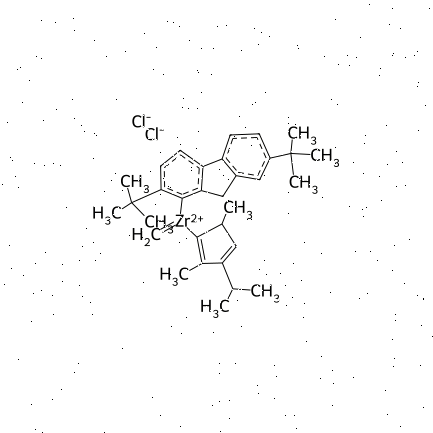 [CH2]=[Zr+2]([C]1=C(C)C(C(C)C)=CC1C)[c]1c(C(C)(C)C)ccc2c1Cc1cc(C(C)(C)C)ccc1-2.[Cl-].[Cl-]